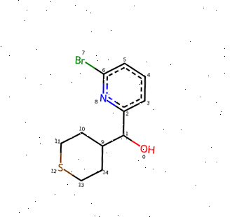 OC(c1cccc(Br)n1)C1CCSCC1